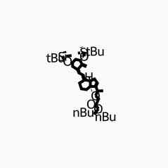 C=C1/C(=C\C=C2/CCC[C@]3(C)C(C(C)OCC(=O)OC(CCCC)CCCC)=CC[C@@H]23)C[C@@H](O[Si](C)(C)C(C)(C)C)C[C@@H]1O[Si](C)(C)C(C)(C)C